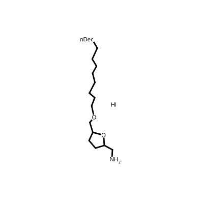 CCCCCCCCCCCCCCCCCCOCC1CCC(CN)O1.I